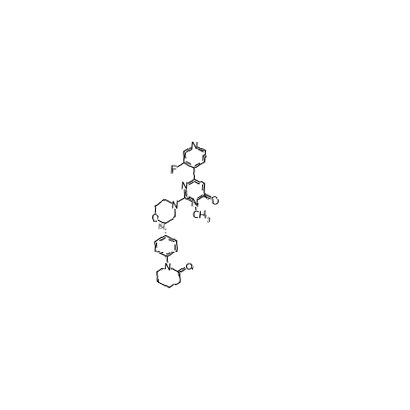 Cn1c(N2CCO[C@@H](c3ccc(N4CCCCC4=O)cc3)C2)nc(-c2ccncc2F)cc1=O